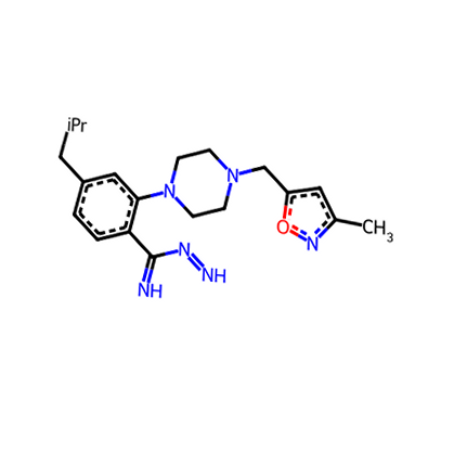 Cc1cc(CN2CCN(c3cc(CC(C)C)ccc3C(=N)N=N)CC2)on1